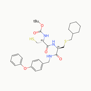 CC(C)(C)OC(=O)N[C@@H](CS)C(=O)N[C@@H](CSCC1CCCCC1)C(=O)NCc1ccc(Oc2ccccc2)cc1